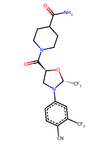 N#Cc1ccc(N2C[C@@H](C(=O)N3CCC(C(N)=O)CC3)O[C@@H]2C(F)(F)F)cc1C(F)(F)F